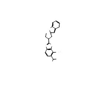 CCOC(=O)C(C)c1ccc2nc(C3CC[C@]4(C=C5CC=CC=C5O4)C3)oc2c1OC